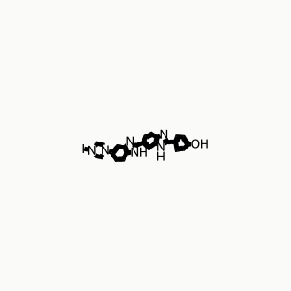 Oc1ccc(-c2nc3ccc(-c4nc5cc(N6CCN(I)CC6)ccc5[nH]4)cc3[nH]2)cc1